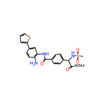 CNC(=O)C(NS(C)(=O)=O)c1ccc(C(=O)Nc2cc(-c3cccs3)ccc2N)cc1